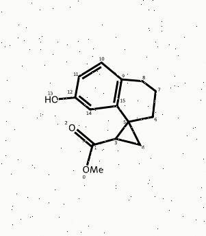 COC(=O)C1CC12CCCc1ccc(O)cc12